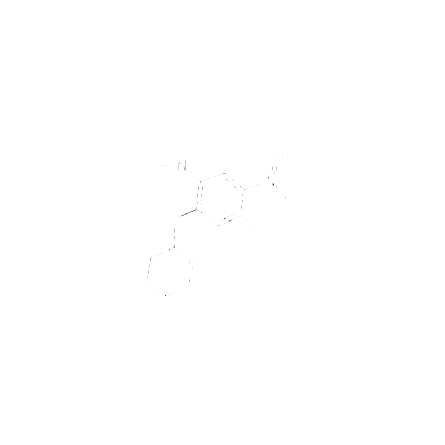 Nc1cc([N+](=O)[O-])c(F)cc1OC1CCCCO1